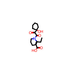 CCC1=C(C(=O)O)CCCN1C(=O)C(=O)C1(O)CCCCC1